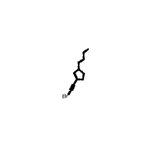 CCCCC1C=C(C#CBr)CC1